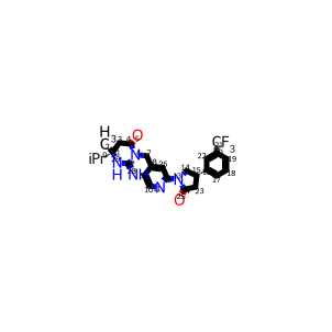 CC(C)[C@]1(C)CC(=O)N(Cc2ccnc(N3C[C@H](c4cccc(C(F)(F)F)c4)CC3=O)c2)C(=N)N1